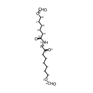 O=COCCCCCCC(=O)[N]NC(=O)CCCCCOC=O